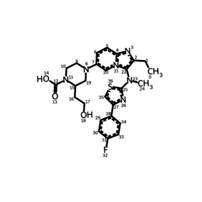 CCc1nc2ccc(N3CCN(C(=O)O)C(CCO)C3)cn2c1N(C)c1nc(-c2ccc(F)cc2)cs1